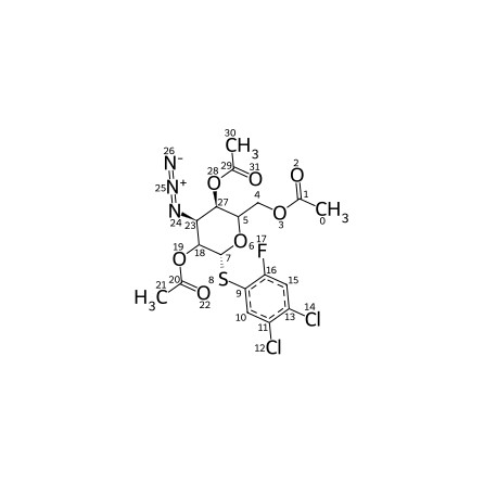 CC(=O)OCC1O[C@H](Sc2cc(Cl)c(Cl)cc2F)C(OC(C)=O)[C@@H](N=[N+]=[N-])[C@H]1OC(C)=O